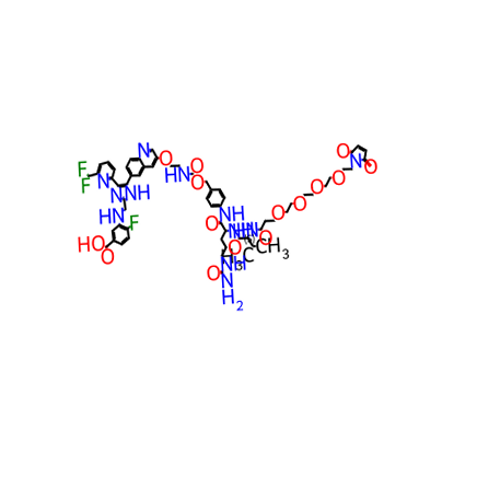 CC(C)[C@H](NC(=O)CCOCCOCCOCCOCCN1C(=O)C=CC1=O)C(=O)NC(CCCNC(N)=O)C(=O)Nc1ccc(COC(=O)NCCOc2cnc3ccc(-c4[nH]c(CNc5cc(C(=O)O)ccc5F)nc4-c4cccc(C(F)F)n4)cc3c2)cc1